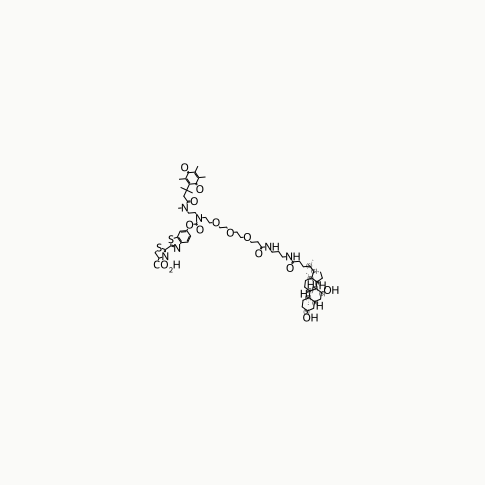 CC1=C(C)C(=O)C(C(C)(C)CC(=O)N(C)CCN(CCOCCOCCOCCC(=O)NCCCNC(=O)CC[C@H](C)[C@@H]2CC[C@@H]3[C@@H]4[C@@H](CC[C@]32C)[C@]2(C)CC[C@H](O)C[C@@H]2C[C@@H]4O)C(=O)Oc2ccc3nc(C4=NC(C(=O)O)CS4)sc3c2)=C(C)C1=O